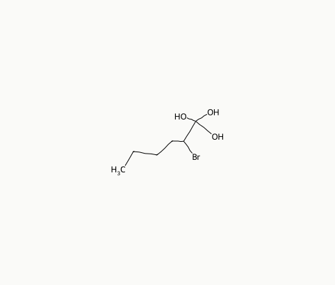 CCCCC(Br)C(O)(O)O